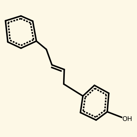 Oc1ccc(CC=CCc2ccccc2)cc1